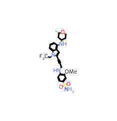 COc1cc(S(N)(=O)=O)ccc1NCC#Cc1cc2c(N[C@H]3CCO[C@@H](C)C3)cccc2n1CC(F)(F)F